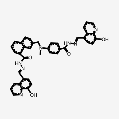 CN(Cc1ccc2cccc(C(=O)N/N=C/c3ccc(O)c4ncccc34)c2c1)c1ccc(C(=O)N/N=C/c2ccc(O)c3ncccc23)cc1